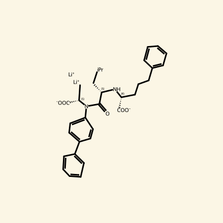 CC(C)C[C@H](N[C@H](CCCc1ccccc1)C(=O)[O-])C(=O)N(c1ccc(-c2ccccc2)cc1)[C@@H](C)C(=O)[O-].[Li+].[Li+]